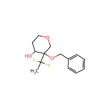 CC(F)(F)C1(OCc2ccccc2)COCCC1O